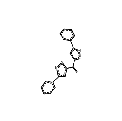 O=C(c1cc(-c2ccccc2)ns1)c1cc(-c2ccccc2)ns1